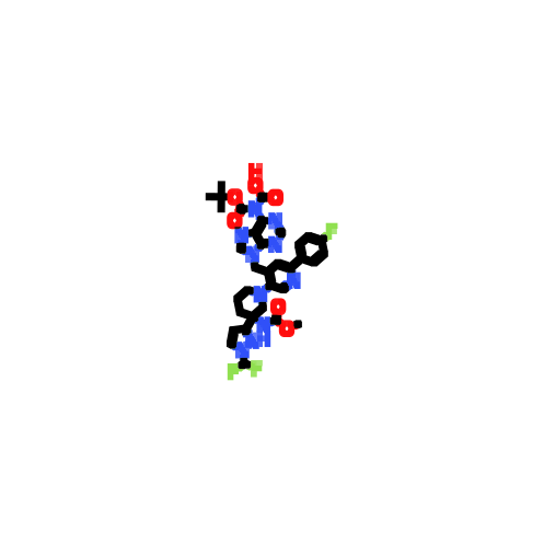 COC(=O)NC1(c2ccn(C(F)F)n2)CCCN(c2cnc(-c3ccc(F)cc3)cc2Cn2cnc3c(N(C(=O)O)C(=O)OC(C)(C)C)ncnc32)C1